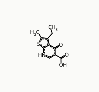 CCc1c(C)sc2[nH]cc(C(=O)O)c(=O)c12